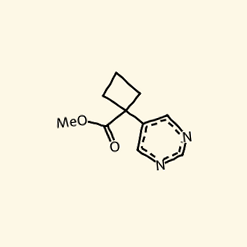 COC(=O)C1(c2cncnc2)CCC1